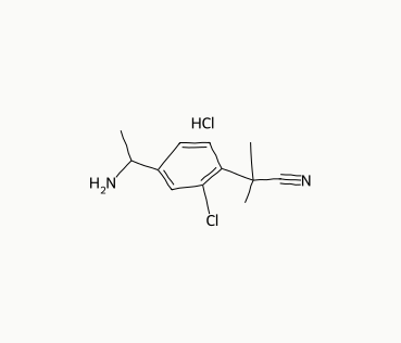 CC(N)c1ccc(C(C)(C)C#N)c(Cl)c1.Cl